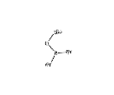 CC(C)B(OC(C)(C)C)C(C)C